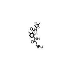 CCC(C)CCC(=O)Nc1ccc(C)c(C(=O)Nc2cnc(C)s2)c1